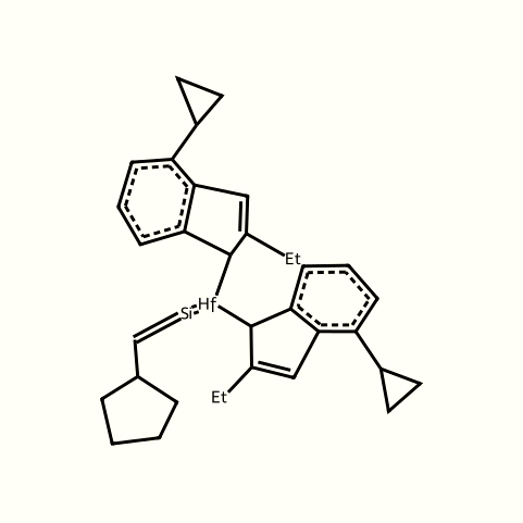 CCC1=Cc2c(C3CC3)cccc2[CH]1[Hf](=[Si]=CC1CCCC1)[CH]1C(CC)=Cc2c(C3CC3)cccc21